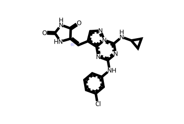 O=C1NC(=O)/C(=C\c2cnn3c(NC4CC4)nc(Nc4cccc(Cl)c4)nc23)N1